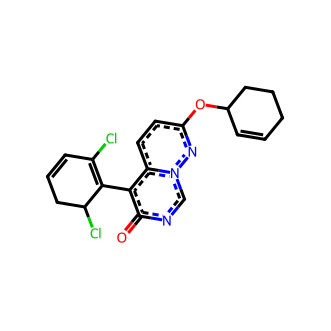 O=c1ncn2nc(OC3C=CCCC3)ccc2c1C1=C(Cl)C=CCC1Cl